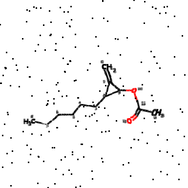 C=C1C(CCCCCC)C1OC(C)=O